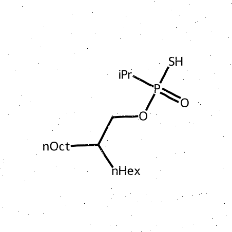 CCCCCCCCC(CCCCCC)COP(=O)(S)C(C)C